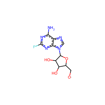 Nc1nc(F)nc2c1ncn2C1OC(C[O])C(O)C1O